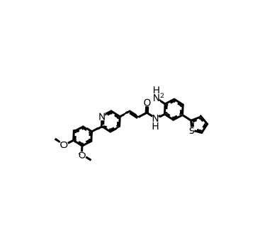 COc1ccc(-c2ccc(C=CC(=O)Nc3cc(-c4cccs4)ccc3N)cn2)cc1OC